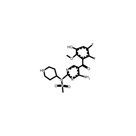 COc1c(O)cc(F)c(F)c1C(=O)c1cnc(N(C2CCNCC2)S(C)(=O)=O)nc1N